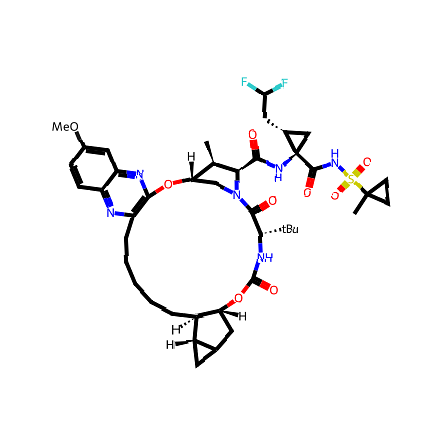 COc1ccc2nc3c(nc2c1)O[C@H]1CN(C(=O)[C@H](C(C)(C)C)NC(=O)O[C@@H]2CC4C[C@@H]4[C@H]2CCCCC3)[C@H](C(=O)N[C@]2(C(=O)NS(=O)(=O)C3(C)CC3)C[C@H]2CC(F)F)[C@@H]1C